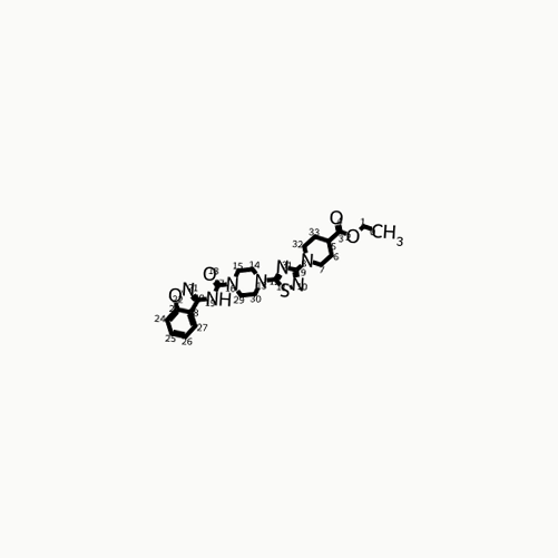 CCOC(=O)C1CCN(c2nsc(N3CCN(C(=O)Nc4noc5ccccc45)CC3)n2)CC1